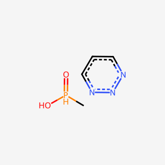 C[PH](=O)O.c1cnnnc1